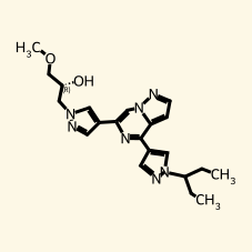 CCC(CC)n1cc(-c2nc(-c3cnn(C[C@@H](O)COC)c3)cn3nccc23)cn1